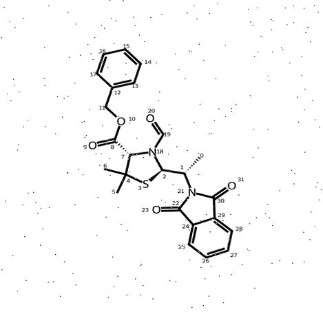 C[C@@H]([C@H]1SC(C)(C)[C@H](C(=O)OCc2ccccc2)N1C=O)N1C(=O)c2ccccc2C1=O